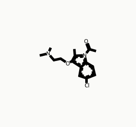 CC(=O)n1c(C)c(OCCN(C)C)c2cc(Cl)ccc21